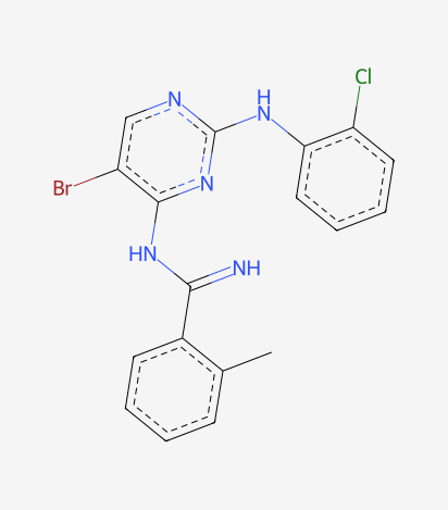 Cc1ccccc1C(=N)Nc1nc(Nc2ccccc2Cl)ncc1Br